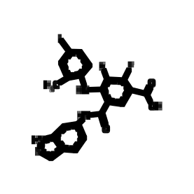 Cc1cc(I)ccc1Nc1c(C(=O)Nc2ccc3cn[nH]c3c2)cc(C(=O)O)c(F)c1F